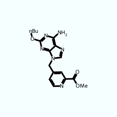 CCCCOc1nc(N)c2ncn(Cc3ccnc(C(=O)OC)c3)c2n1